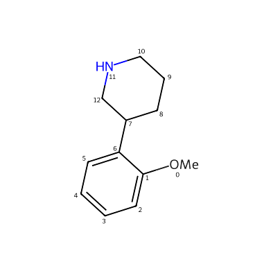 COc1ccccc1C1CCCNC1